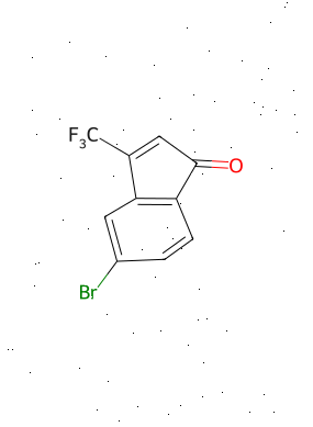 O=C1C=C(C(F)(F)F)c2cc(Br)ccc21